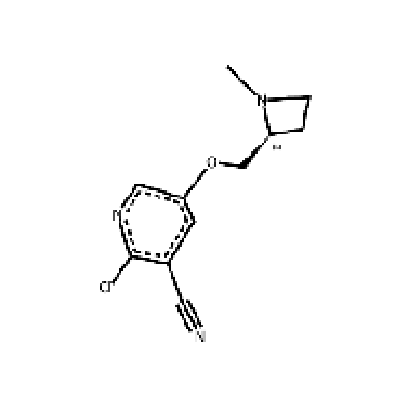 CN1CC[C@H]1COc1cnc(Cl)c(C#N)c1